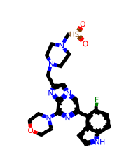 O=[SH](=O)CN1CCN(Cc2cn3cc(-c4c(F)ccc5[nH]ccc45)nc(N4CCOCC4)c3n2)CC1